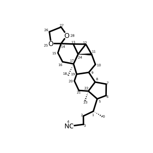 C[C@H](CCC#N)C1CCC2C3CC4C5C6C7(CC[C@](C)(C3CC[C@@]21C)[C@@]456)OCCO7